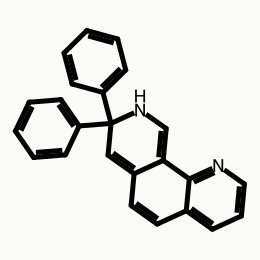 C1=c2ccc3cccnc3c2=CNC1(c1ccccc1)c1ccccc1